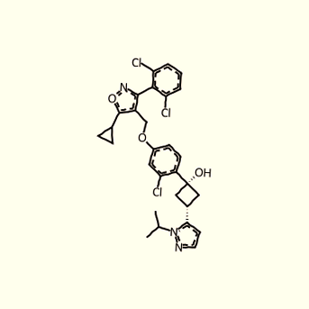 CC(C)n1nccc1[C@H]1C[C@](O)(c2ccc(OCc3c(-c4c(Cl)cccc4Cl)noc3C3CC3)cc2Cl)C1